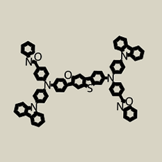 c1ccc2oc(-c3ccc(N(c4ccc(-n5c6ccccc6c6ccccc65)cc4)c4ccc5c(c4)oc4cc6c(cc45)sc4cc(N(c5ccc(-c7nc8ccccc8o7)cc5)c5ccc(-n7c8ccccc8c8ccccc87)cc5)ccc46)cc3)nc2c1